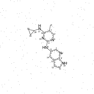 Cc1cnc(Nc2cnc3[nH]ccc3c2)nc1NC1CC1